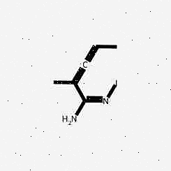 CC=C=C(C)/C(N)=N\I